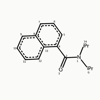 CC(C)N(C(=O)c1cccc2ccccc12)C(C)C